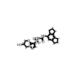 O=C(Nc1cc2c(c3c1CCC3)CCC2)NS(=O)(=O)c1cnn2c1OCC(O)C2